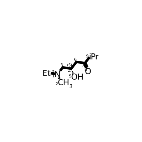 CCN(C)C[C@@H](O)CC(=O)C(C)C